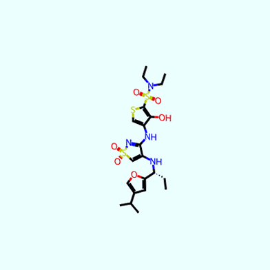 CC[C@@H](NC1=CS(=O)(=O)N=C1Nc1csc(S(=O)(=O)N(CC)CC)c1O)c1cc(C(C)C)co1